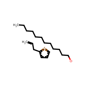 C=CCc1cccs1.CCCCCCCCCCCC[O]